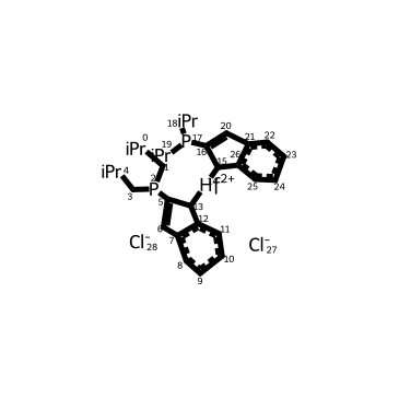 CC(C)CP(CC(C)C)C1=Cc2ccccc2[CH]1[Hf+2][CH]1C(P(C(C)C)C(C)C)=Cc2ccccc21.[Cl-].[Cl-]